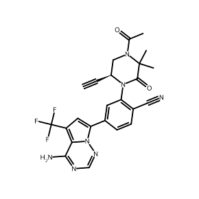 C#C[C@H]1CN(C(C)=O)C(C)(C)C(=O)N1c1cc(-c2cc(C(F)(F)F)c3c(N)ncnn23)ccc1C#N